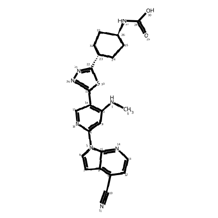 CNc1cc(-n2ccc3c(C#N)ccnc32)ncc1-c1nnc([C@H]2CC[C@H](NC(=O)O)CC2)s1